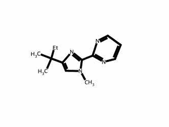 CCC(C)(C)c1cn(C)c(-c2ncccn2)n1